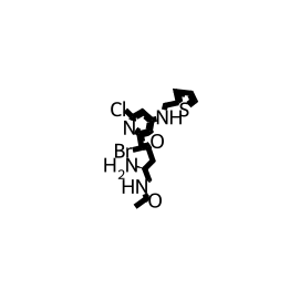 CC(=O)NC[C@H](N)Cc1oc2c(NCc3cccs3)cc(Cl)nc2c1Br